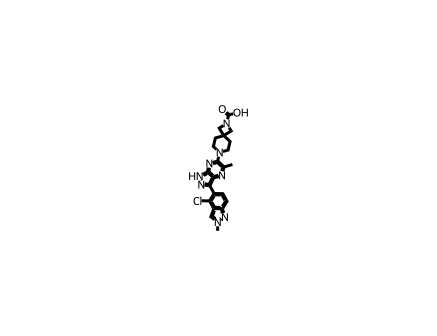 Cc1nc2c(-c3ccc4nn(C)cc4c3Cl)n[nH]c2nc1N1CCC2(CC1)CN(C(=O)O)C2